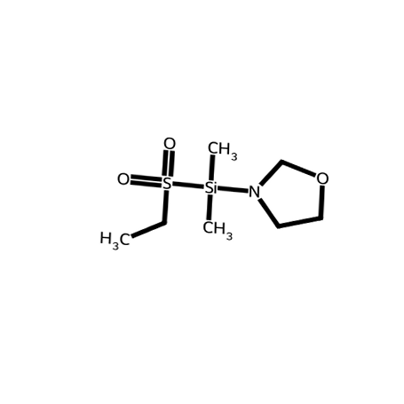 CCS(=O)(=O)[Si](C)(C)N1CCOC1